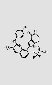 Cc1cc2cccc(-c3cc4c([nH]3)CCNC4=O)c2nc1Nc1ccc(Br)cc1.O=C(O)C(F)(F)F